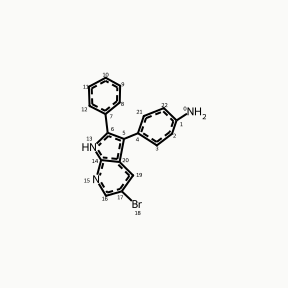 Nc1ccc(-c2c(-c3ccccc3)[nH]c3ncc(Br)cc23)cc1